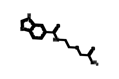 NC(=O)COCCNC(=O)c1ccc2nc[nH]c2c1